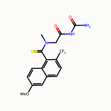 COc1ccc2c(C(=S)N(C)CC(=O)NC(N)=O)c(C(F)(F)F)ccc2c1